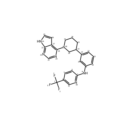 FC(F)(F)c1ccc(Nc2cccc(C3CCCN(c4ncnc5[nH]ccc45)C3)c2)nc1